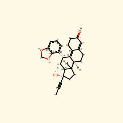 CC#C[C@]1(O)CC[C@H]2[C@@H]3CCC4=CC(=O)CCC4=C3[C@@H](c3cccc4c3OCO4)C[C@@]21C